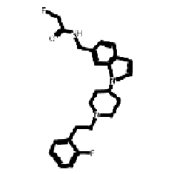 O=C(CF)NCc1ccc2ccn(C3CCN(CCc4ccccc4F)CC3)c2c1